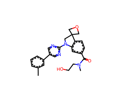 Cc1cccc(-c2cnc(N3CC4(COC4)c4ccc(C(=O)N(C)CCO)cc43)nc2)c1